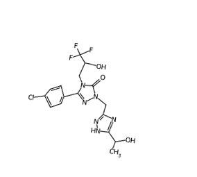 CC(O)c1nc(Cn2nc(-c3ccc(Cl)cc3)n(CC(O)C(F)(F)F)c2=O)n[nH]1